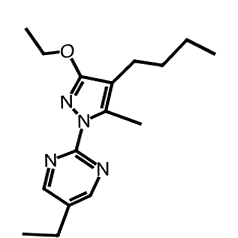 CCCCc1c(OCC)nn(-c2ncc(CC)cn2)c1C